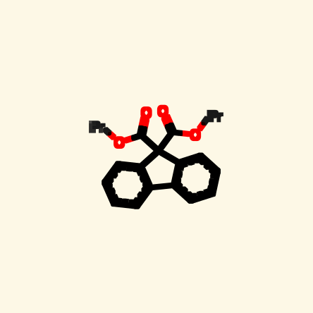 CC(C)OC(=O)C1(C(=O)OC(C)C)c2ccccc2-c2ccccc21